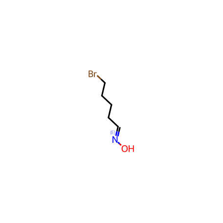 O/N=C/CCCCBr